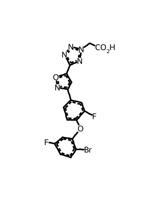 O=C(O)Cn1nnc(-c2cc(-c3ccc(Oc4cc(F)ccc4Br)c(F)c3)no2)n1